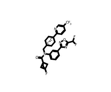 O=C(N(CC12CCC(c3ccc(C(F)(F)F)cn3)(CC1)CC2)c1cccc(-c2noc(C(F)F)n2)c1)C12CC(F)(C1)C2